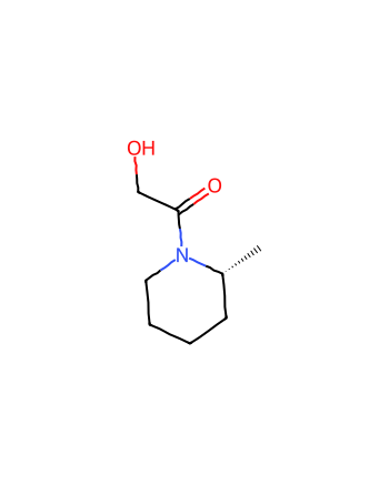 C[C@@H]1CCCCN1C(=O)CO